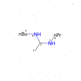 CC[CH]NC(C)NCCCC